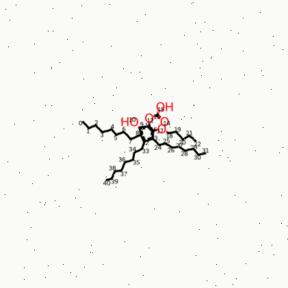 CCCCCCCCc1c(O)c(OC(=O)O)c(OCCCCC)c(CCCCCCCC)c1CCCCCCCC